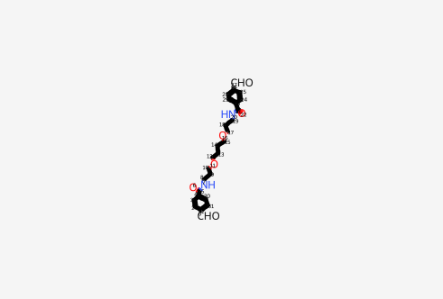 O=Cc1ccc(C(=O)NCCCOCCCCOCCCNC(=O)c2ccc(C=O)cc2)cc1